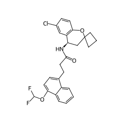 O=C(CCc1ccc(OC(F)F)c2ccccc12)N[C@@H]1CC2(CCC2)Oc2ccc(Cl)cc21